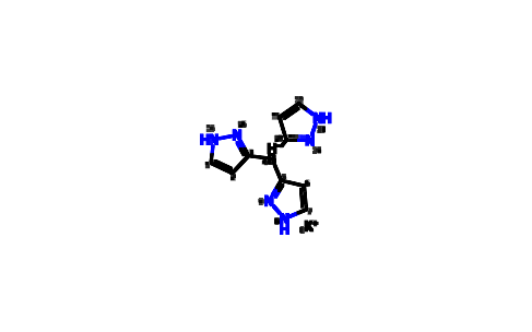 [K+].c1cc([BH-](c2cc[nH]n2)c2cc[nH]n2)n[nH]1